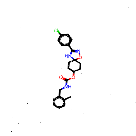 Cc1ccccc1CNC(=O)OC1CCC2(CC1)NC(c1ccc(Cl)cc1)=NO2